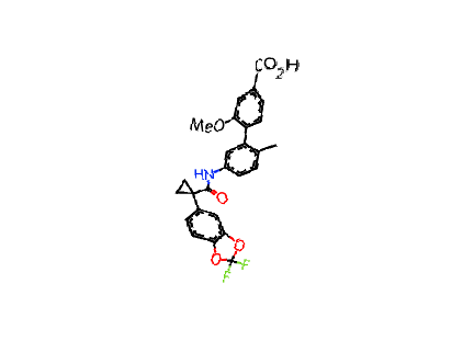 COc1cc(C(=O)O)ccc1-c1cc(NC(=O)C2(c3ccc4c(c3)OC(F)(F)O4)CC2)ccc1C